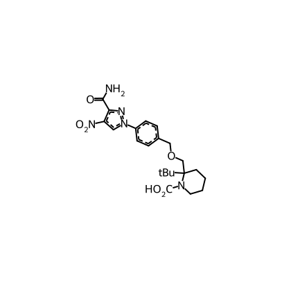 CC(C)(C)C1(COCc2ccc(-n3cc([N+](=O)[O-])c(C(N)=O)n3)cc2)CCCCN1C(=O)O